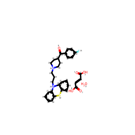 O.O=C(O)/C=C/C(=O)O.O=C(c1ccc(F)cc1)C1CCN(CCCN2c3ccccc3Sc3ccccc32)CC1